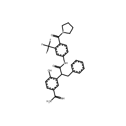 N=C(N)c1ccc(O)c(C(Cc2ccccc2)C(=O)Nc2ccc(C(=O)N3CCCC3)c(C(F)(F)F)c2)c1